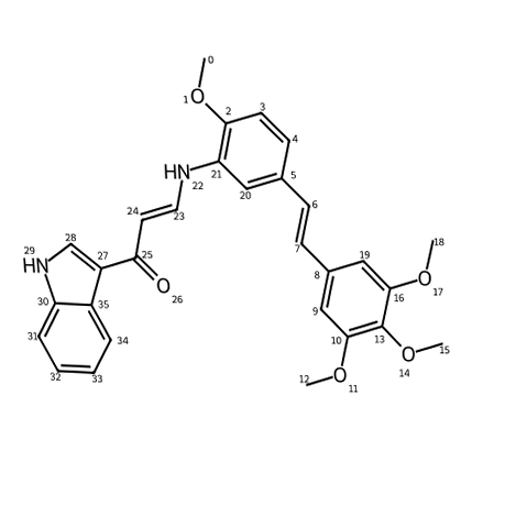 COc1ccc(C=Cc2cc(OC)c(OC)c(OC)c2)cc1NC=CC(=O)c1c[nH]c2ccccc12